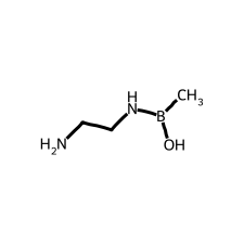 CB(O)NCCN